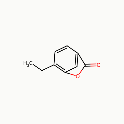 CCc1ccc2cc1OC2=O